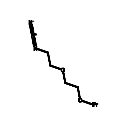 CC(C)OCCOCCN=[N+]=[N-]